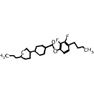 CCCCc1ccc(OC(=O)C2CCC(C3CCC(CCC)CC3)CC2)c(F)c1F